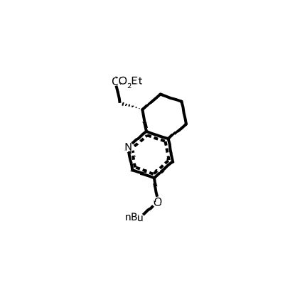 CCCCOc1cnc2c(c1)CCC[C@H]2CC(=O)OCC